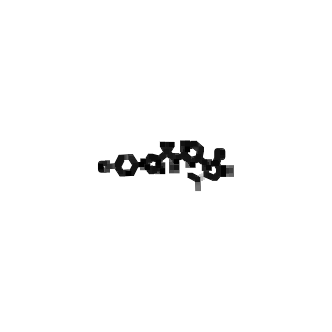 CC(C)[C@H]1CNC(=O)N1c1ccnc(NC2(c3cn(C4C=CC(Cl)=CC4)cn3)CC2)n1